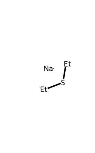 CCSCC.[Na]